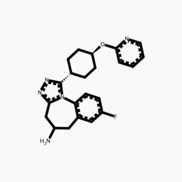 NC1Cc2cc(F)ccc2-n2c(nnc2[C@H]2CC[C@H](Oc3ccccn3)CC2)C1